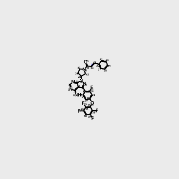 Nc1ncnc2c1c(-c1ccc(Oc3c(F)c(F)cc(F)c3F)cc1F)nn2C1CCN(C(=O)/C=C/c2ccccc2)C1